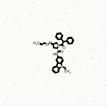 C=CCO/N=C1\C[C@@H](C(=O)Nc2ccc3c(c2)c2ccccc2n3CC)N(C(=O)C(c2ccccc2)c2ccccc2)C1